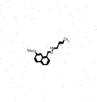 C/C=C/CNOCc1cccc2ccc(OC)cc12